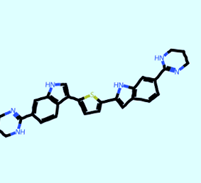 c1cc2cc(-c3ccc(-c4c[nH]c5cc(C6=NCCCN6)ccc45)s3)[nH]c2cc1C1=NCCCN1